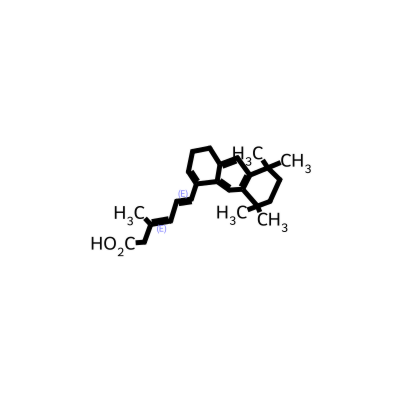 C/C(=C\C=C\C1=CCCc2cc3c(cc21)C(C)(C)CCC3(C)C)CC(=O)O